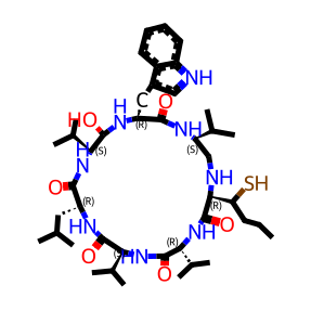 CCCC(S)[C@@H]1NC[C@H](C(C)C)NC(=O)[C@@H](Cc2c[nH]c3ccccc23)NC(O)[C@H](C(C)C)NC(=O)[C@@H](CC(C)C)NC(=O)[C@H](C(C)C)NC(=O)[C@@H](C(C)C)NC1=O